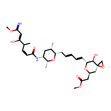 COC(=N)/C=C(\O)C(C)/C=C\C(=O)N[C@@H]1C[C@H](C)[C@H](C/C=C/C=C/[C@H]2O[C@H](CC(=O)OC)C[C@@]3(CO3)[C@@H]2O)O[C@@H]1C